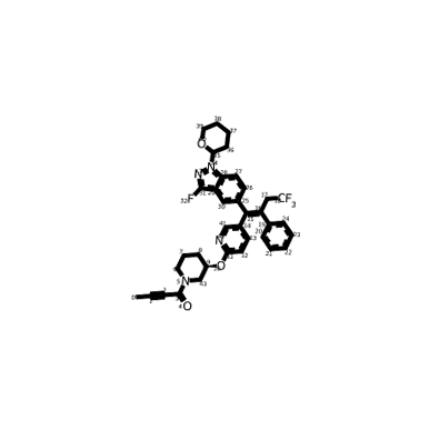 CC#CC(=O)N1CCC[C@@H](Oc2ccc(/C(=C(/CC(F)(F)F)c3ccccc3)c3ccc4c(c3)c(F)nn4C3CCCCO3)cn2)C1